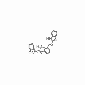 COc1c[c]ccc1CCSc1cccc(CSc2nc3ccccc3[nH]2)c1C